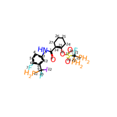 O=C(Nc1ccc(F)c(C(F)(P)I)c1)C1=C(OS(=O)(=O)C(F)(P)P)CCCC1